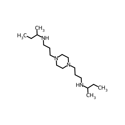 CCC(C)NCCCN1CCN(CCCNC(C)CC)CC1